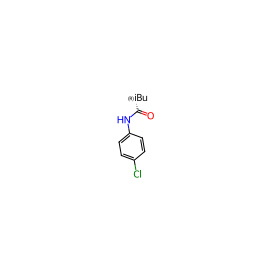 CC[C@@H](C)C(=O)Nc1ccc(Cl)cc1